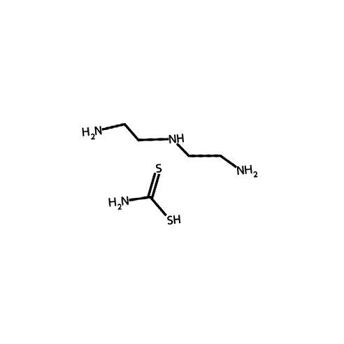 NC(=S)S.NCCNCCN